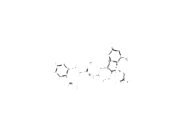 COc1ccccc1CCC(=O)NC1CCc2c(c3cc(F)cc(Cl)c3n2CC(=O)O)C1